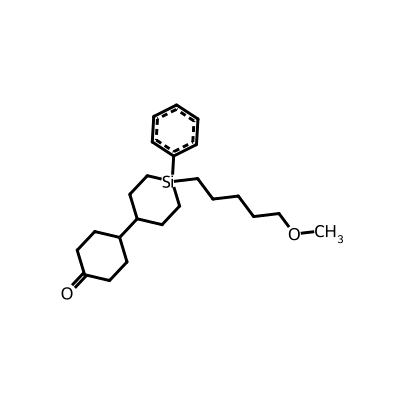 COCCCCC[Si]1(c2ccccc2)CCC(C2CCC(=O)CC2)CC1